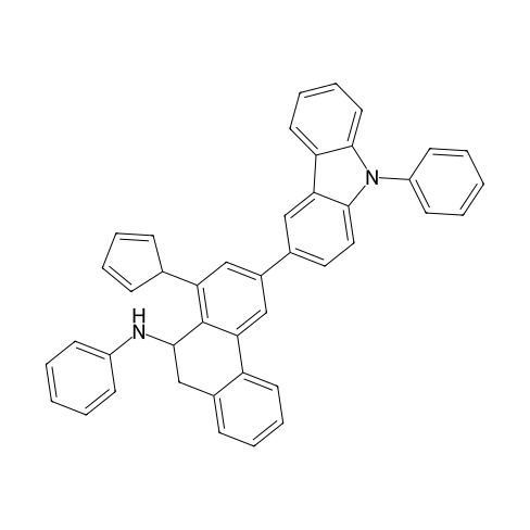 C1=CC(c2cc(-c3ccc4c(c3)c3ccccc3n4-c3ccccc3)cc3c2C(Nc2ccccc2)Cc2ccccc2-3)C=C1